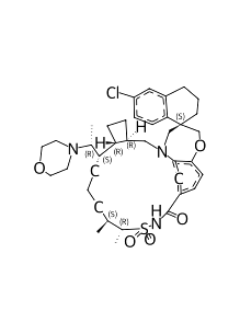 C[C@H]([C@H]1CCC[C@H](C)[C@@H](C)S(=O)(=O)NC(=O)c2ccc3c(c2)N(C[C@@H]2CC[C@H]21)C[C@@]1(CCCc2cc(Cl)ccc21)CO3)N1CCOCC1